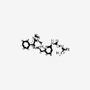 CCC(C)=NOC(=O)Nc1cccc(CON=C(c2ccccc2)c2nnnn2C)n1